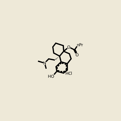 CCCC(=O)OC12CCCC[C@]1(CCN(C)C)c1cc(O)ccc1CC2.Cl